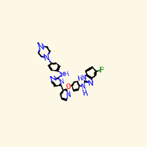 CN1CCN(c2ccc(Nc3nccc(-c4cccnc4Oc4ccc(Nc5nc6cc(F)ccc6[nH]5)cc4)n3)cc2)CC1